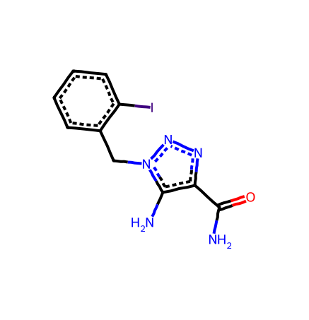 NC(=O)c1nnn(Cc2ccccc2I)c1N